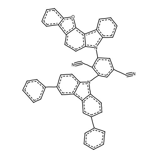 N#Cc1cc(-n2c3ccc(-c4ccccc4)cc3c3cc(-c4ccccc4)ccc32)c(C#N)c(-n2c3ccccc3c3c4oc5ccccc5c4ccc32)c1